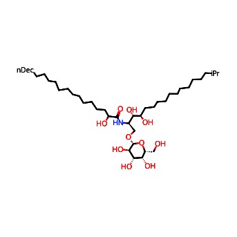 CCCCCCCCCCCCCCCCCCCCCCC(O)C(=O)N[C@H](CO[C@@H]1O[C@H](CO)[C@H](O)[C@H](O)[C@H]1O)[C@H](O)[C@H](O)CCCCCCCCCCCC(C)C